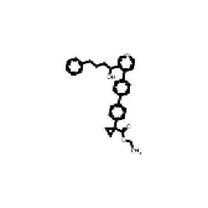 CCOC(=O)C1(c2ccc(-c3ccc(-c4ccncc4C(O)CCCc4ccccc4)cc3)cc2)CC1